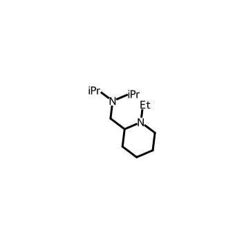 CCN1CCCCC1CN(C(C)C)C(C)C